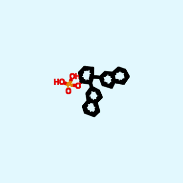 O=P(O)(O)Oc1cccc(-c2ccc3ccccc3c2)c1-c1ccc2ccccc2c1